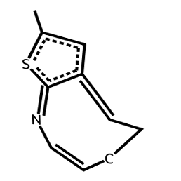 Cc1cc2/c(s1)=N\C=C/CC/C=2